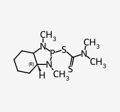 CN(C)C(=S)SP1N(C)C2CCCC[C@H]2N1C